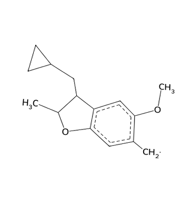 [CH2]c1cc2c(cc1OC)C(CC1CC1)C(C)O2